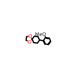 COc1ccccc1C1CCC2(CC1)OCCO2